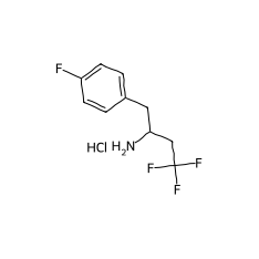 Cl.NC(Cc1ccc(F)cc1)CC(F)(F)F